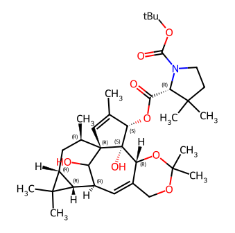 CC1=C[C@]23C(O)[C@@H](C=C4COC(C)(C)O[C@H]4[C@]2(O)[C@H]1OC(=O)[C@@H]1N(C(=O)OC(C)(C)C)CCC1(C)C)[C@H]1[C@@H](C[C@H]3C)C1(C)C